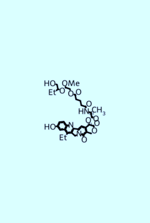 CCc1c2c(nc3ccc(O)cc13)-c1cc3c(c(=O)n1C2)COC(=O)[C@H]3OC(=O)[C@H](C)NC(=O)CCCC(=O)OCC(OC)OC(CC)CO